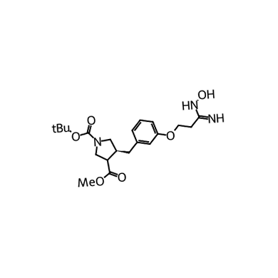 COC(=O)C1CN(C(=O)OC(C)(C)C)C[C@H]1Cc1cccc(OCCC(=N)NO)c1